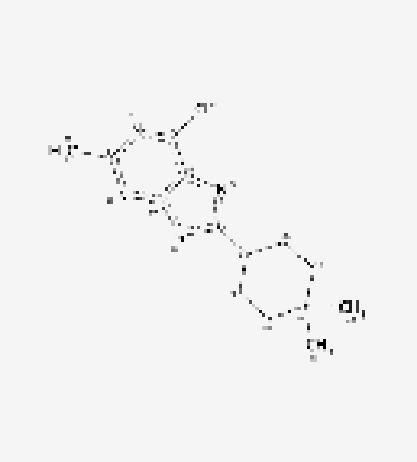 Cc1nc(Cl)c2nc(C3CCC(C)(C)CC3)sc2n1